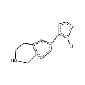 Clc1sccc1-c1ccc2c(n1)CCNC2